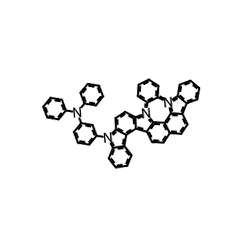 c1ccc(N(c2ccccc2)c2cccc(-n3c4ccccc4c4c5c6ccc7ccc8c9ccccc9n9c%10ccccc%10n(c5ccc43)c6c7c89)c2)cc1